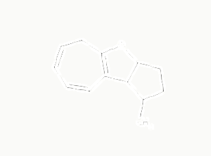 CC1CCC2OC3=C(C=CC=CC3)C12